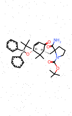 CC(C)(C)OC(=O)N1CCCC1(C[C@H]1C(=O)C=C[C@@H](O[Si](c2ccccc2)(c2ccccc2)C(C)(C)C)C1(C)C)C(N)=O